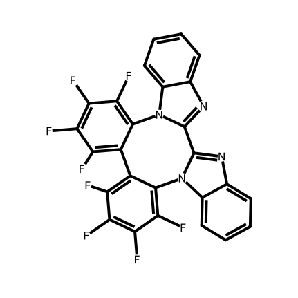 Fc1c(F)c(F)c2c(c1F)c1c(F)c(F)c(F)c(F)c1n1c3ccccc3nc1c1nc3ccccc3n12